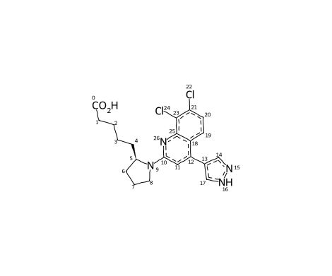 O=C(O)CCCC[C@@H]1CCCN1c1cc(-c2cn[nH]c2)c2ccc(Cl)c(Cl)c2n1